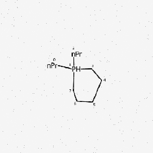 CCC[PH]1(CCC)CCCCC1